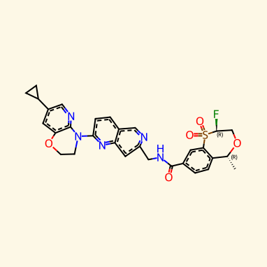 C[C@H]1OC[C@H](F)S(=O)(=O)c2cc(C(=O)NCc3cc4nc(N5CCOc6cc(C7CC7)cnc65)ccc4cn3)ccc21